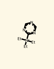 CC[N+](CC)(CC)c1ncncn1